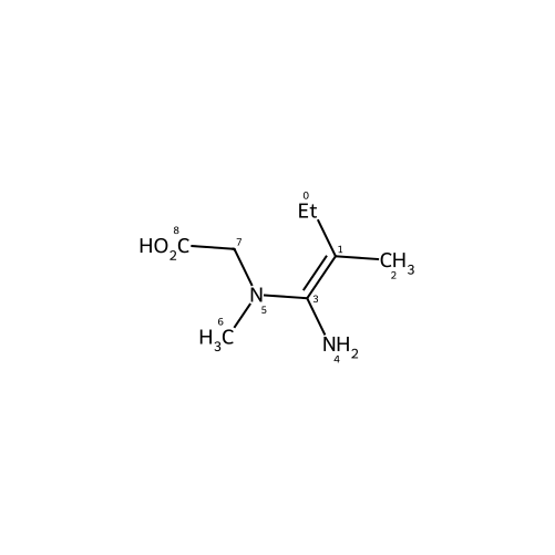 CC/C(C)=C(/N)N(C)CC(=O)O